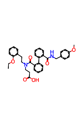 CCOc1ccccc1CCN(CCC(=O)O)C(=O)c1ccccc1-c1ccccc1C(=O)NCc1ccc(OC)cc1